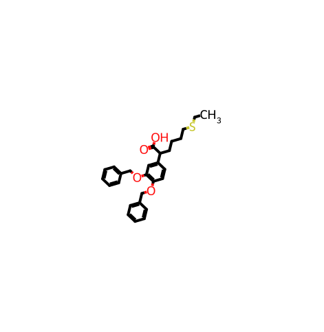 CCSCCCCC(C(=O)O)c1ccc(OCc2ccccc2)c(OCc2ccccc2)c1